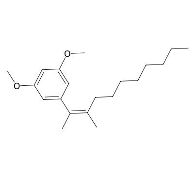 CCCCCCCCC(C)=C(C)c1cc(OC)cc(OC)c1